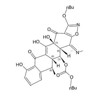 CCCCOC(=O)O[C@H]1[C@H]2C(=C(O)[C@]3(O)C(=O)c4c(OCCCC)noc4/C(=N\C)[C@H]13)C(=O)c1c(O)cccc1[C@@H]2C